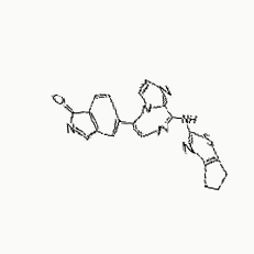 O=C1N=Cc2cc(-c3cnc(Nc4nc5c(s4)CCC5)c4nccn34)ccc21